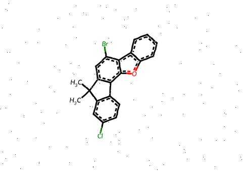 CC1(C)c2cc(Cl)ccc2-c2c1cc(Br)c1c2oc2ccccc21